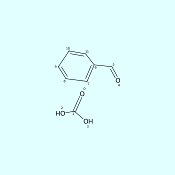 O=C(O)O.O=Cc1ccccc1